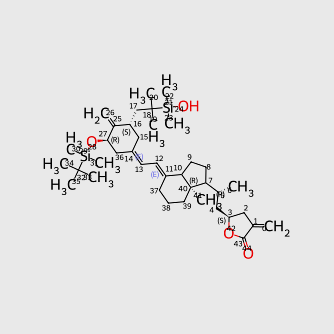 C=C1C[C@H](C[C@@H](C)C2CCC3/C(=C/C=C4\C[C@@H](CC(C)(C)[Si](C)(C)O)C(=C)[C@H](O[Si](C)(C)C(C)(C)C)C4)CCC[C@@]32C)OC1=O